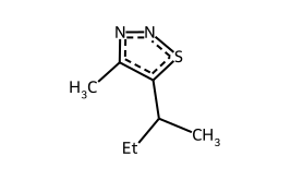 CCC(C)c1snnc1C